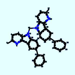 Cc1ccc2c(n1)c1cc(-c3ccccc3)ccc1n2Cn1c2ccc(-c3ccccc3)cc2c2nc(C)ccc21